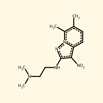 Cc1ccc2c([N+](=O)[O-])c(NCCN(C)C)nn2c1C